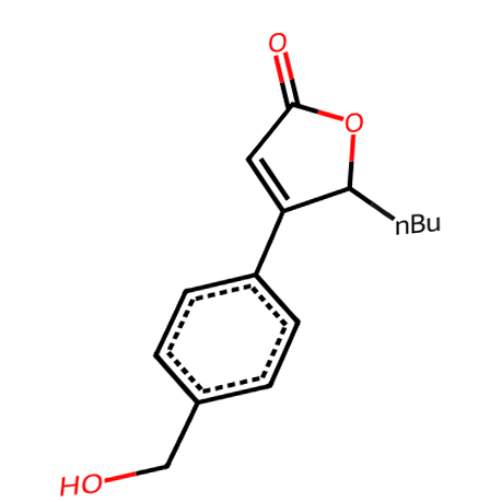 CCCCC1OC(=O)C=C1c1ccc(CO)cc1